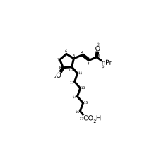 CCCC(=O)/C=C/C1CCC(=O)C1CCCCCCC(=O)O